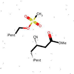 CCCC(C)COS(C)(=O)=O.CCC[C@@H](C)C[C@H](C#N)CC(=O)OC